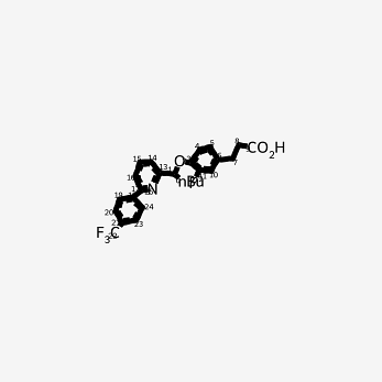 CCCCC(Oc1ccc(CCC(=O)O)cc1F)c1cccc(-c2ccc(C(F)(F)F)cc2)n1